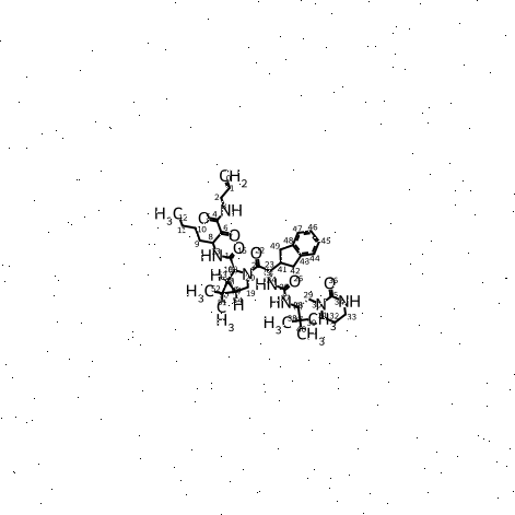 C=CCNC(=O)C(=O)C(CCCC)NC(=O)[C@@H]1[C@@H]2[C@H](CN1C(=O)[C@@H](NC(=O)N[C@H](CN1CCCNC1=O)C(C)(C)C)C1Cc3ccccc3C1)C2(C)C